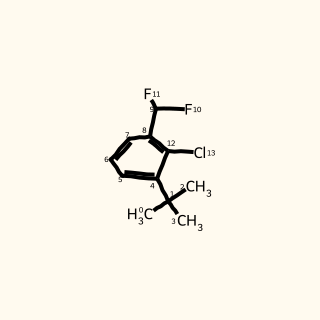 CC(C)(C)c1cccc(C(F)F)c1Cl